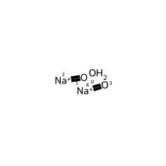 O.[O]=[Na+].[O]=[Na+]